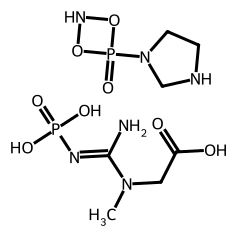 CN(CC(=O)O)C(N)=NP(=O)(O)O.O=P1(N2CCNC2)ONO1